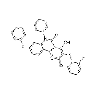 O=c1oc2c(c(O)c1Sc1ccccc1F)c(=O)n(-c1ccccc1)c1cc(Oc3ncccn3)ccc21